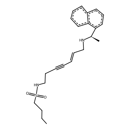 CCCCS(=O)(=O)NCCC#C/C=C/CN[C@H](C)c1cccc2ccccc12